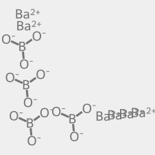 [Ba+2].[Ba+2].[Ba+2].[Ba+2].[Ba+2].[Ba+2].[O-]B([O-])[O-].[O-]B([O-])[O-].[O-]B([O-])[O-].[O-]B([O-])[O-]